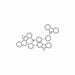 c1cc(-c2ccc(N(c3ccccc3-c3ccc4c(c3)sc3ccccc34)c3cccc4oc5c6ccccc6ccc5c34)cc2)cc(-n2c3ccccc3c3ccccc32)c1